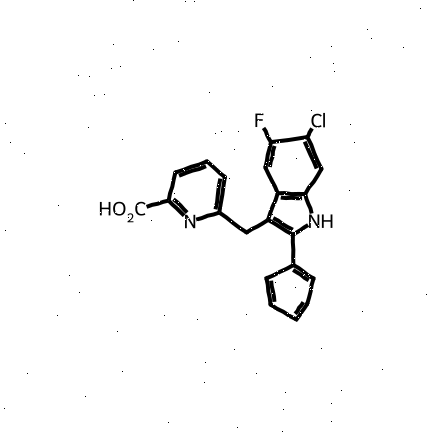 O=C(O)c1cccc(Cc2c(-c3ccccc3)[nH]c3cc(Cl)c(F)cc23)n1